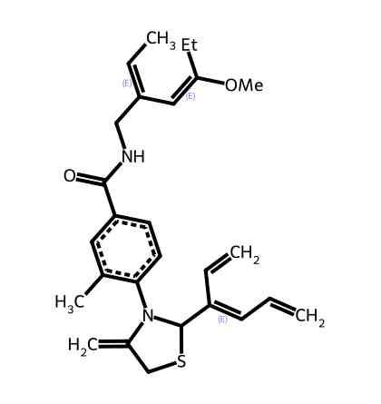 C=C/C=C(\C=C)C1SCC(=C)N1c1ccc(C(=O)NCC(=C/C)/C=C(\CC)OC)cc1C